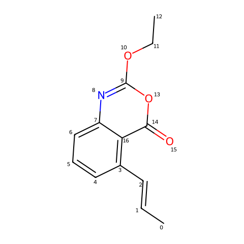 CC=Cc1cccc2nc(OCC)oc(=O)c12